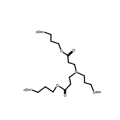 CCCCCCCCCCCCCOC(=O)CCN(CCCOC)CCC(=O)OCCCCCCCCCCCCC